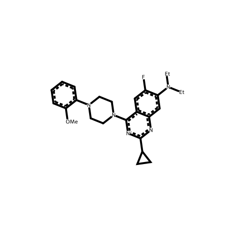 CCN(CC)c1cc2nc(C3CC3)nc(N3CCN(c4ccccc4OC)CC3)c2cc1F